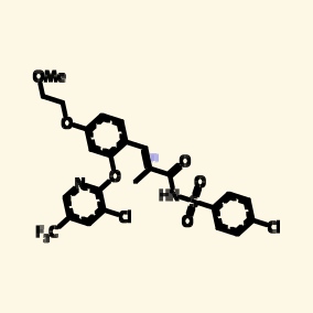 COCCOc1ccc(/C=C(\C)C(=O)NS(=O)(=O)c2ccc(Cl)cc2)c(Oc2ncc(C(F)(F)F)cc2Cl)c1